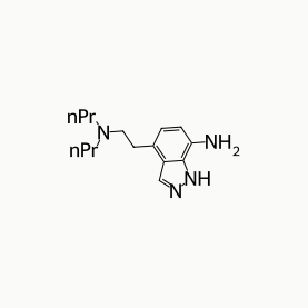 CCCN(CCC)CCc1ccc(N)c2[nH]ncc12